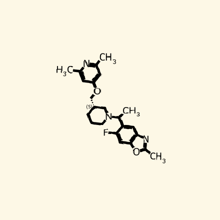 Cc1cc(OC[C@H]2CCCN(C(C)c3cc4nc(C)oc4cc3F)C2)cc(C)n1